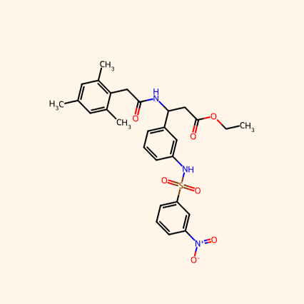 CCOC(=O)CC(NC(=O)Cc1c(C)cc(C)cc1C)c1cccc(NS(=O)(=O)c2cccc([N+](=O)[O-])c2)c1